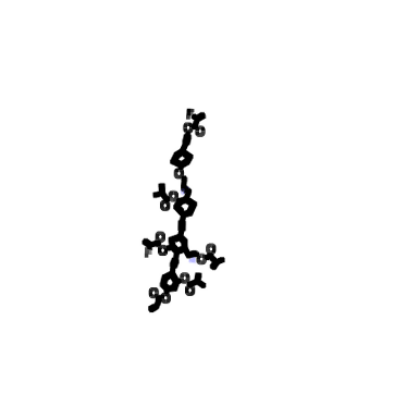 C=CC(=O)Oc1ccc(C#Cc2c(/C=C/OC(=O)C(=C)C)cc(C#Cc3ccc(/C=C/COc4ccc(C#COC(=O)C(=C)F)cc4)c(OC(=O)C(=C)C)c3)cc2OC(=O)C(=C)F)c(OC(=O)C(=C)C)c1